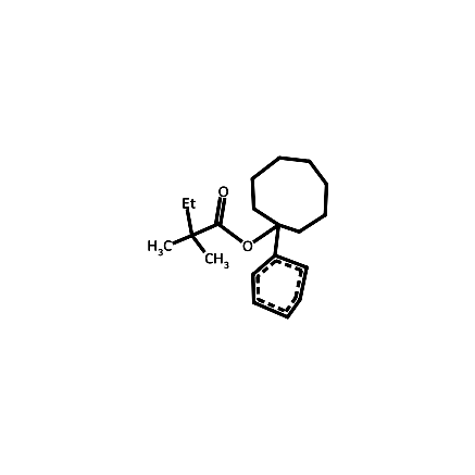 CCC(C)(C)C(=O)OC1(c2ccccc2)CCCCCCC1